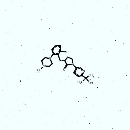 CN1CCN(c2cccc(F)c2C[C@H]2CCN(c3ccc(C(C)(C)O)nc3)C2=O)CC1